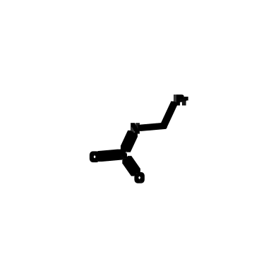 CC(C)CN=S(=O)=O